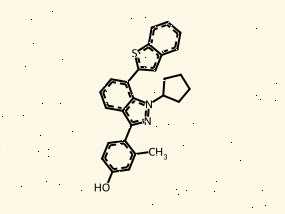 Cc1cc(O)ccc1-c1nn(C2CCCC2)c2c(-c3cc4ccccc4s3)cccc12